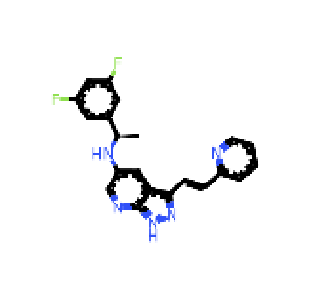 C[C@@H](Nc1cnc2[nH]nc(/C=C/c3ccccn3)c2c1)c1cc(F)cc(F)c1